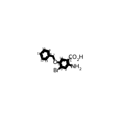 Nc1cc(Br)c(OCc2ccccc2)cc1C(=O)O